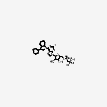 O=P(O)(O)CP(=O)(O)OCC1OC(n2cnc3c(N4CC(c5ccccc5)c5ccccc54)nc(Cl)nc32)C(O)C1O